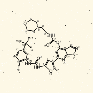 O=C(Nc1cc(-c2cc(OC(=O)NCCN3CCOCC3)c3cn[nH]c3n2)no1)Nc1cc(C(F)(F)F)ccc1F